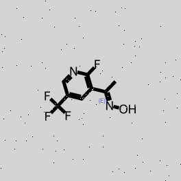 C/C(=N\O)c1cc(C(F)(F)F)cnc1F